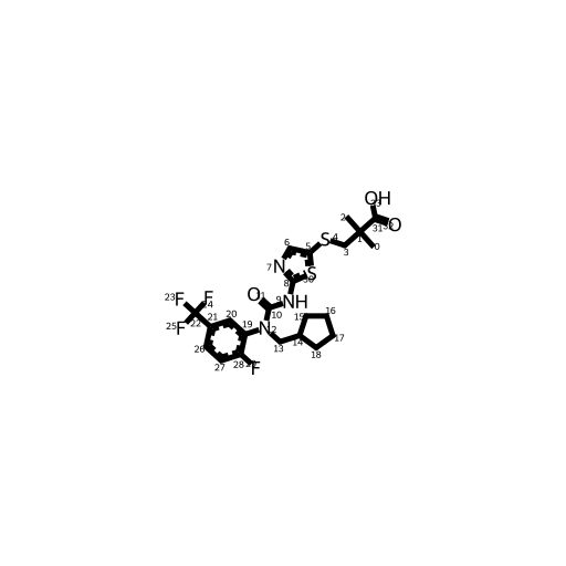 CC(C)(CSc1cnc(NC(=O)N(CC2CCCC2)c2cc(C(F)(F)F)ccc2F)s1)C(=O)O